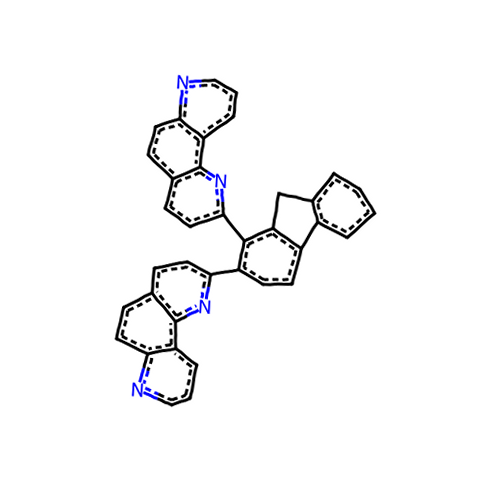 c1ccc2c(c1)Cc1c-2ccc(-c2ccc3ccc4ncccc4c3n2)c1-c1ccc2ccc3ncccc3c2n1